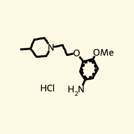 COc1ccc(N)cc1OCCN1CCC(C)CC1.Cl